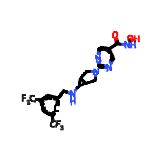 O=C(NO)c1cnc(N2CC3C(C2)C3NCc2cc(C(F)(F)F)cc(C(F)(F)F)c2)nc1